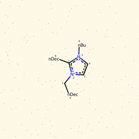 CCCCCCCCCCC[n+]1ccn(CCCC)c1CCCCCCCCCC